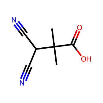 CC(C)(C(=O)O)C(C#N)C#N